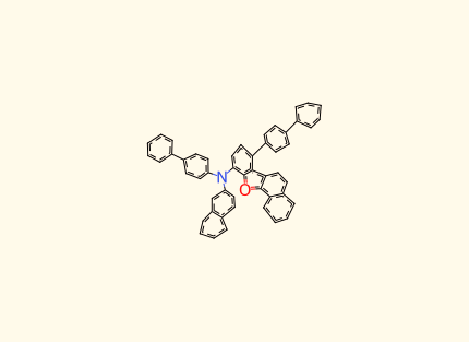 c1ccc(-c2ccc(-c3ccc(N(c4ccc(-c5ccccc5)cc4)c4ccc5ccccc5c4)c4oc5c6ccccc6ccc5c34)cc2)cc1